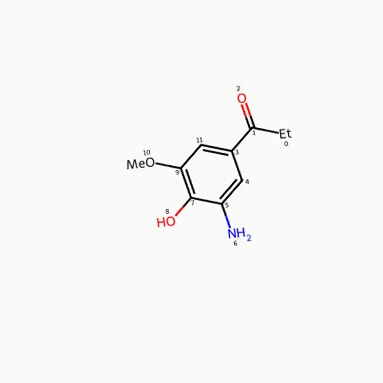 CCC(=O)c1cc(N)c(O)c(OC)c1